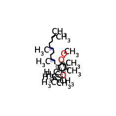 COCO[C@@H]1[C@@H](C)[C@@H](C)[C@H](O[Si](C)(C)C(C)(C)C)[C@@H](C)[C@@H]1C/C=C(\C)CC/C=C(\C)CCC=C(C)C